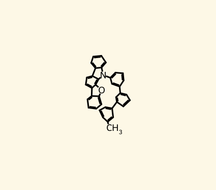 Cc1cccc(-c2cccc(-c3cccc(-n4c5ccccc5c5ccc6c7ccccc7oc6c54)c3)c2)c1